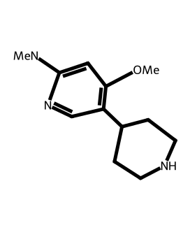 CNc1cc(OC)c(C2CCNCC2)cn1